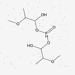 COC(C)C(O)O[PH](=O)OC(O)C(C)OC